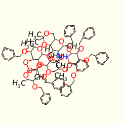 CC(=O)NC1[C@H](C)OC2COC(C)(C)O[C@H]2[C@@H]1O[C@@H]1OC(C)[C@H](OCc2ccccc2)[C@H](O[C@@H]2OC(C)[C@H](OCc3ccccc3)[C@H](OCc3ccccc3)C2O[C@@H]2OC(C)[C@H](OCc3ccccc3)[C@H](O[C@H]3O[C@@H](COCc4ccccc4)[C@@H](OCc4ccccc4)C(OCc4ccccc4)C3OCc3ccccc3)C2C)C1OC(C)=O